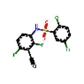 C#Cc1c(F)ccc(NS(=O)(=O)c2cc(Cl)ccc2Cl)c1F